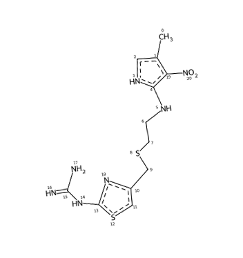 Cc1c[nH]c(NCCSCc2csc(NC(=N)N)n2)c1[N+](=O)[O-]